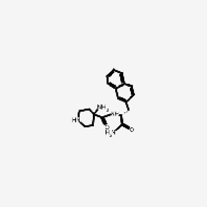 NC(=O)[C@@H](Cc1ccc2ccccc2c1)NC(=O)C1(N)CCNCC1